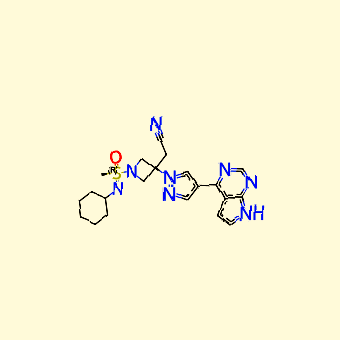 C[S@](=O)(=NC1CCCCC1)N1CC(CC#N)(n2cc(-c3ncnc4[nH]ccc34)cn2)C1